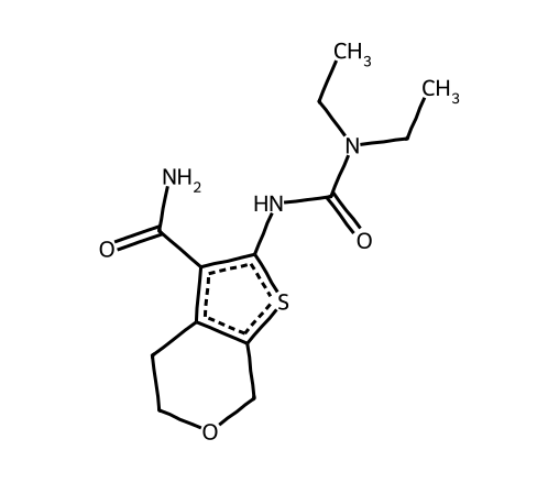 CCN(CC)C(=O)Nc1sc2c(c1C(N)=O)CCOC2